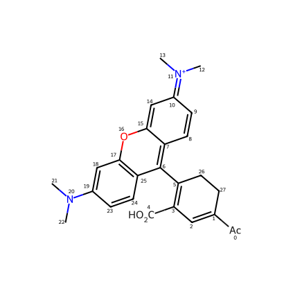 CC(=O)C1=CC(C(=O)O)=C(c2c3ccc(=[N+](C)C)cc-3oc3cc(N(C)C)ccc23)CC1